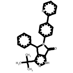 CC(C)(C)c1n[nH]c2c1C(c1ccccc1)N(c1ccc(-c3ccccn3)cc1)C2=O